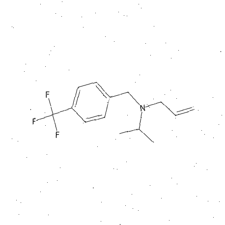 C=CCN(Cc1ccc(C(F)(F)F)cc1)C(C)C